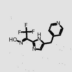 O/N=C(/c1ncc(Cc2ccncc2)[nH]1)C(F)(F)F